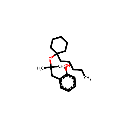 CCCCCC1(OC(C)(C)Cc2ccccc2O)CCCCC1